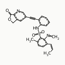 C=Nc1c(/C=C\C)ccc(C)c1S(=O)(=O)Nc1ccccc1C#Cc1cnc2c(c1)COC2=O